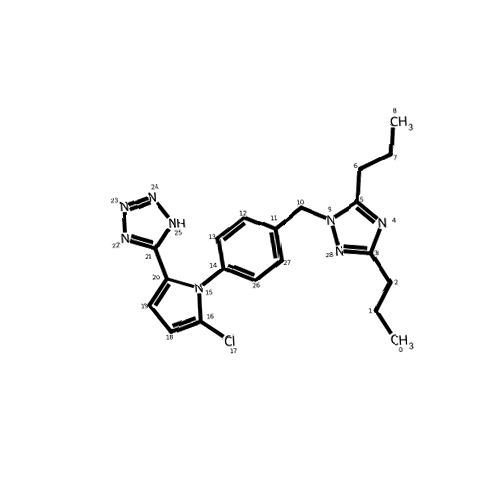 CCCc1nc(CCC)n(Cc2ccc(-n3c(Cl)ccc3-c3nnn[nH]3)cc2)n1